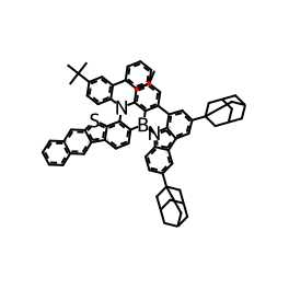 Cc1cc2c3c(c1)N(c1ccc(C(C)(C)C)cc1-c1ccccc1)c1c(ccc4c1sc1cc5ccccc5cc14)B3n1c3ccc(C45CC6CC(CC(C6)C4)C5)cc3c3cc(C45CC6CC(CC(C6)C4)C5)cc-2c31